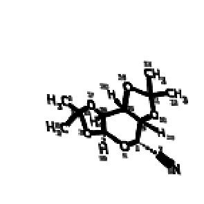 CC1(C)O[C@@H]2O[C@@H](C#N)[C@H]3OC(C)(C)O[C@H]3[C@@H]2O1